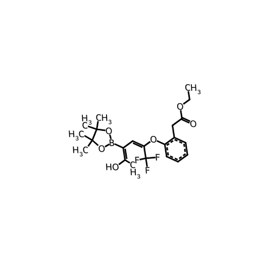 CCOC(=O)Cc1ccccc1O/C(=C/C(B1OC(C)(C)C(C)(C)O1)=C(\C)O)C(F)(F)F